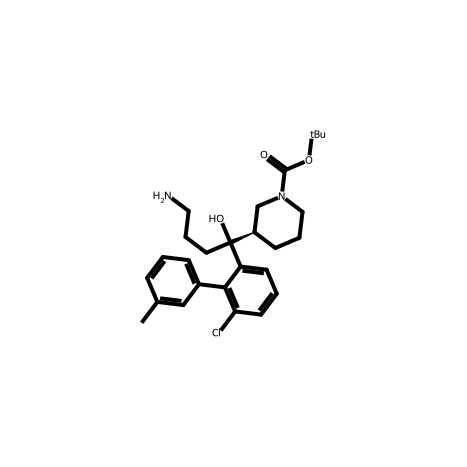 Cc1cccc(-c2c(Cl)cccc2C(O)(CCCN)[C@@H]2CCCN(C(=O)OC(C)(C)C)C2)c1